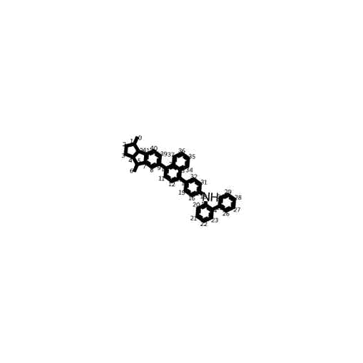 CC1CCC2C(C)c3cc(-c4ccc(-c5ccc(Nc6ccccc6-c6ccccc6)cc5)c5ccccc45)ccc3C12